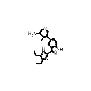 CCc1nc(-c2n[nH]c3ccc(-c4cncc(N)c4C)cc23)[nH]c1CC